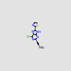 CCCCC#Cc1nc(Cl)c2nc(-c3nccs3)[nH]c2n1